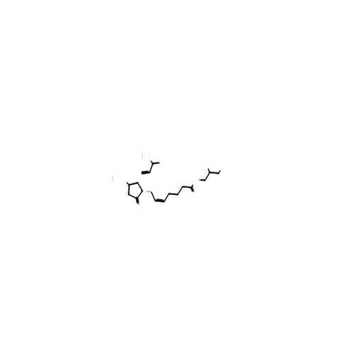 CCCCCC(O)/C=C/[C@H]1C(O)CC(=O)[C@@H]1C/C=C\CCCC(=O)OCC(O)CO